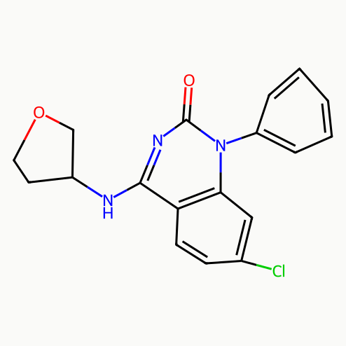 O=c1nc(NC2CCOC2)c2ccc(Cl)cc2n1-c1ccccc1